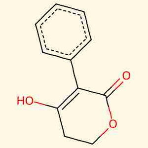 O=C1OCCC(O)=C1c1ccccc1